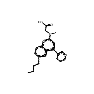 CCCCc1ccc2nc(N(C)CC(=O)O)cc(-c3cccnc3)c2c1